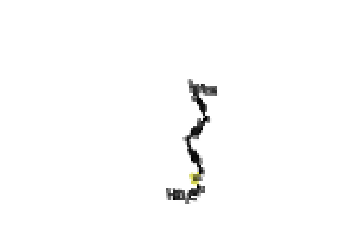 CCCCCCC#CCC#CCC#CCSCC(=O)O